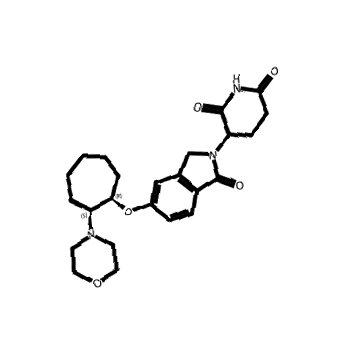 O=C1CCC(N2Cc3cc(O[C@@H]4CCCCC[C@@H]4N4CCOCC4)ccc3C2=O)C(=O)N1